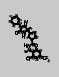 CN(NC(=O)C1CC(C2(C)NC(=O)N(c3ccccc3)N2)=NO1)c1ncc(C(F)(F)F)cc1Cl